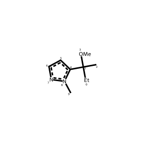 CCC(C)(OC)c1c[c]nn1C